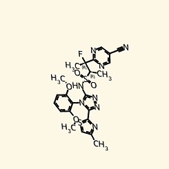 COc1cccc(OC)c1-n1c(NS(=O)(=O)[C@H](C)[C@](C)(F)c2ncc(C#N)cn2)nnc1-c1nc(C)cs1